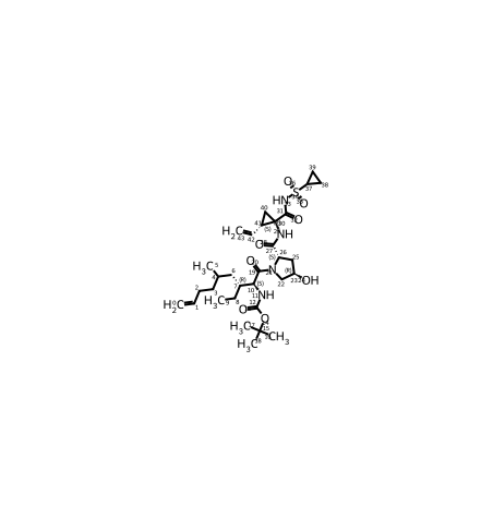 C=CCCC(C)C[C@@H](CC)[C@H](NC(=O)OC(C)(C)C)C(=O)N1C[C@H](O)C[C@H]1C(=O)N[C@]1(C(=O)NS(=O)(=O)C2CC2)C[C@H]1C=C